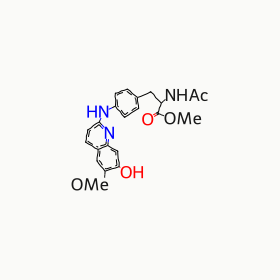 COC(=O)C(Cc1ccc(Nc2ccc3cc(OC)c(O)cc3n2)cc1)NC(C)=O